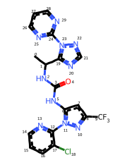 CC(NC(=O)Nc1cc(C(F)(F)F)nn1-c1ncccc1Cl)c1ncnn1-c1ncccn1